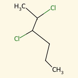 CCCC(Cl)[C](C)Cl